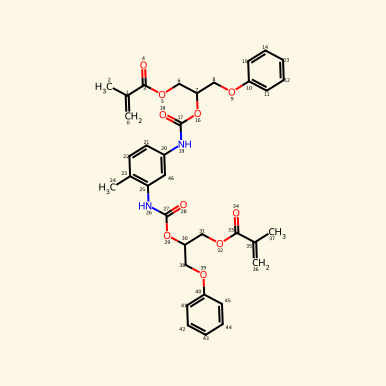 C=C(C)C(=O)OCC(COc1ccccc1)OC(=O)Nc1ccc(C)c(NC(=O)OC(COC(=O)C(=C)C)COc2ccccc2)c1